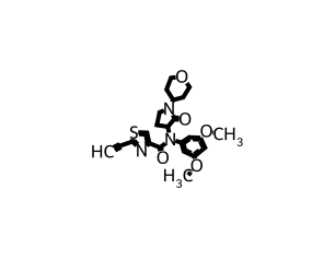 C#Cc1nc(C(=O)N(c2cc(OC)cc(OC)c2)C2CCN(C3CCOCC3)C2=O)cs1